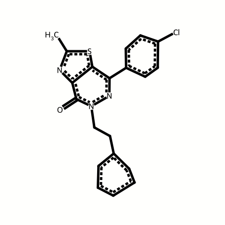 Cc1nc2c(=O)n(CCc3ccccc3)nc(-c3ccc(Cl)cc3)c2s1